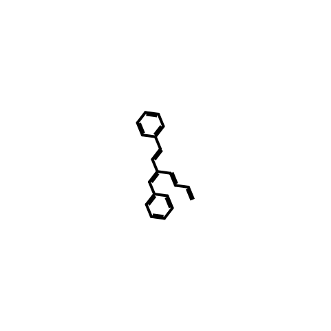 C=CC=C/C(C=Cc1ccccc1)=C\c1ccccc1